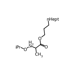 CCCCCCCCCCOC(=O)C(C)[SiH2]OC(C)C